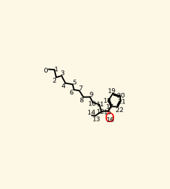 CCCCCCCCCCCCC(CC)C(=O)c1ccccc1